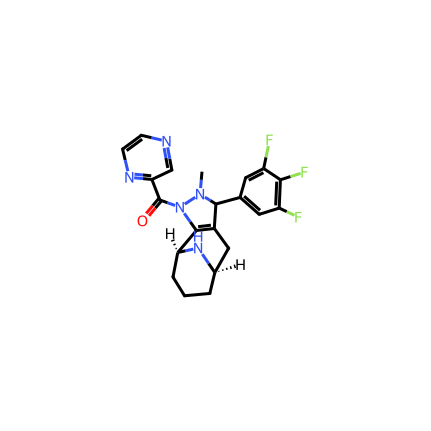 CN1C(c2cc(F)c(F)c(F)c2)C2=C([C@@H]3CCC[C@H](C2)N3)N1C(=O)c1cnccn1